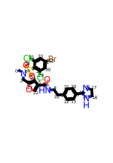 CN(Cc1cc(C(=O)NCCc2ccc(C3=NCCN3)cc2)co1)S(=O)(=O)c1c(Cl)cc(Br)cc1Cl